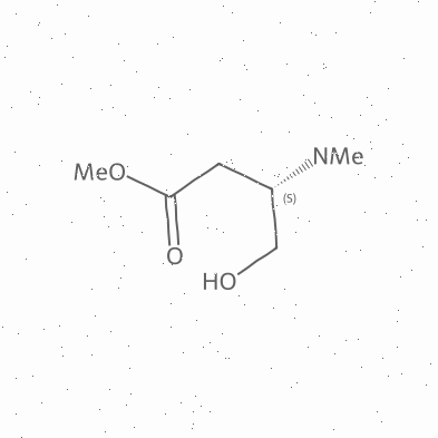 CN[C@H](CO)CC(=O)OC